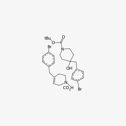 CC(C)(C)OC(=O)N1CCC(O)(Cc2ccc(Br)cc2)CC1.O=C(O)N1CC=C(Cc2ccc(Br)cc2)CC1